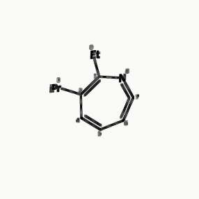 CCC1=C(C(C)C)C=CC=C=N1